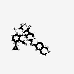 CC(C)n1c(=O)c2cnc(Nc3ccc4c(c3)CCNC4)nc2n1-c1cccc(C2CC2)c1C#N